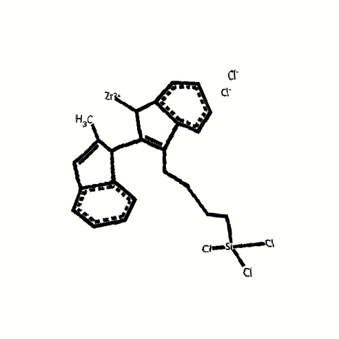 CC1=Cc2ccccc2C1C1=C(CCCC[Si](Cl)(Cl)Cl)c2ccccc2[CH]1[Zr+2].[Cl-].[Cl-]